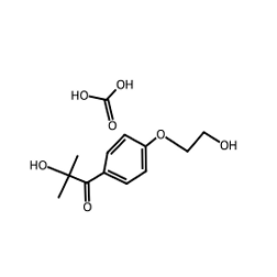 CC(C)(O)C(=O)c1ccc(OCCO)cc1.O=C(O)O